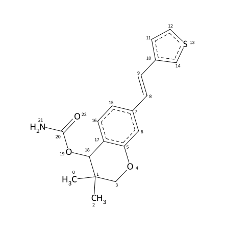 CC1(C)COc2cc(/C=C/c3ccsc3)ccc2C1OC(N)=O